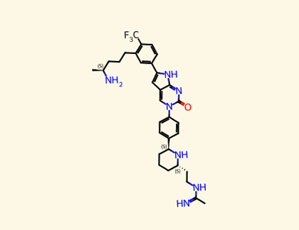 CC(=N)NCC[C@@H]1CCC[C@@H](c2ccc(-n3cc4cc(-c5ccc(C(F)(F)F)c(CCC[C@H](C)N)c5)[nH]c4nc3=O)cc2)N1